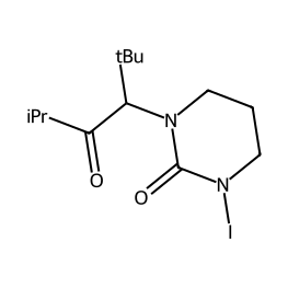 CC(C)C(=O)C(N1CCCN(I)C1=O)C(C)(C)C